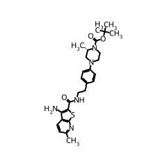 Cc1ccc2c(N)c(C(=O)NCCc3ccc(N4CCN(C(=O)OC(C)(C)C)[C@@H](C)C4)cc3)sc2n1